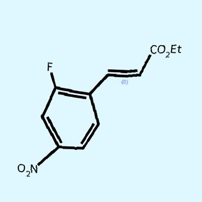 CCOC(=O)/C=C/c1ccc([N+](=O)[O-])cc1F